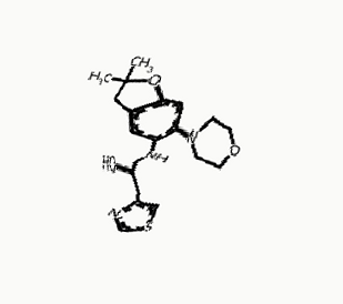 CC1(C)Cc2cc(NC(O)c3cscn3)c(N3CCOCC3)cc2O1